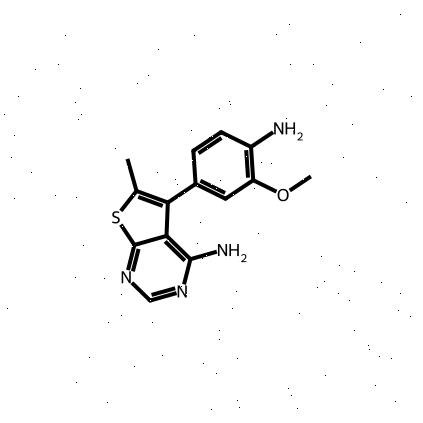 COc1cc(-c2c(C)sc3ncnc(N)c23)ccc1N